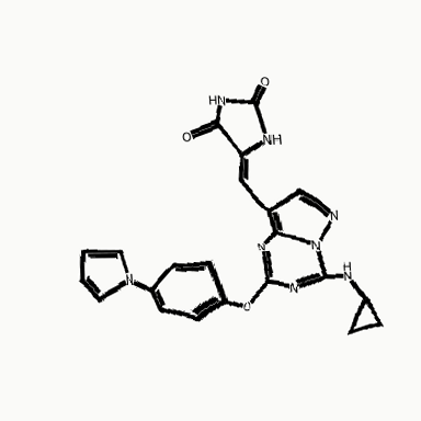 O=C1NC(=O)/C(=C/c2cnn3c(NC4CC4)nc(Oc4ccc(-n5cccc5)cc4)nc23)N1